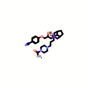 CC(=O)N1CCN(CCCN(C)C2C3CCC2CN(CC(O)COc2ccc(C#N)cc2)C3)CC1